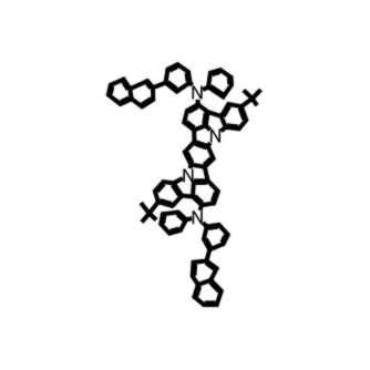 CC(C)(C)c1ccc2c(c1)c1c(N(c3ccccc3)c3cccc(-c4ccc5ccccc5c4)c3)ccc3c4cc5c(cc4n2c31)c1ccc(N(c2ccccc2)c2cccc(-c3ccc4ccccc4c3)c2)c2c3cc(C(C)(C)C)ccc3n5c12